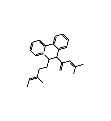 C=C(N=C(C)C)C1c2ccccc2-c2cccc[n+]2C1CC/C(C)=C/C